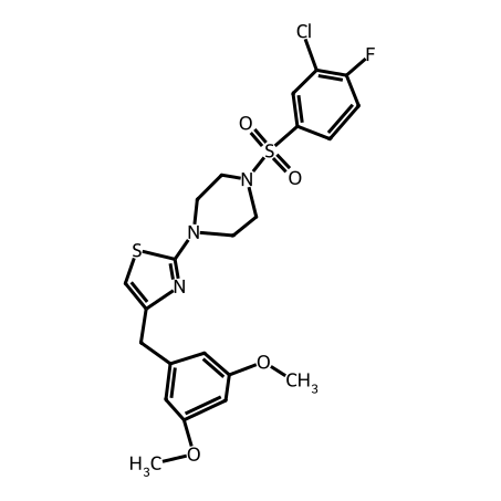 COc1cc(Cc2csc(N3CCN(S(=O)(=O)c4ccc(F)c(Cl)c4)CC3)n2)cc(OC)c1